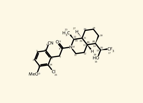 COc1ccc(C#N)c(CC(=O)N2CC[C@H]3[C@H]([C@H](O)C(F)(F)F)CCC[C@@H]3[C@@H]2C)c1Cl